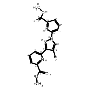 COC(=O)c1cccc(-c2nn(-c3cccc(C(=O)OC)n3)cc2Br)n1